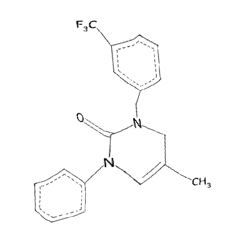 CC1=CN(c2ccccc2)C(=O)N(c2cccc(C(F)(F)F)c2)C1